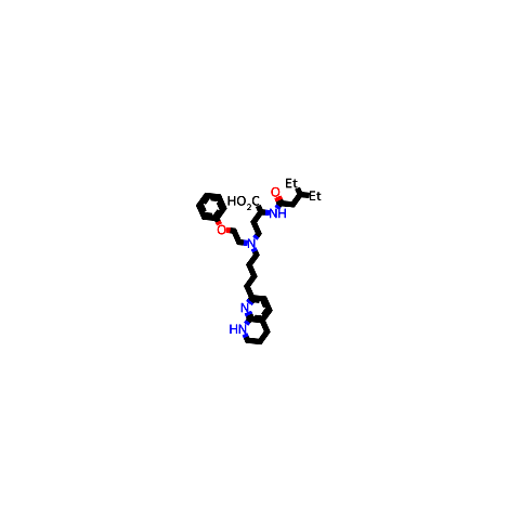 CCC(CC)CC(=O)NC(CCN(CCCCc1ccc2c(n1)NCCC2)CCOc1ccccc1)C(=O)O